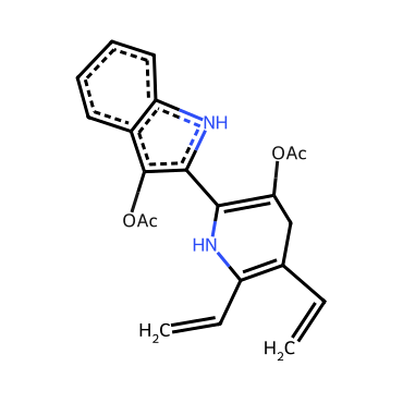 C=CC1=C(C=C)NC(c2[nH]c3ccccc3c2OC(C)=O)=C(OC(C)=O)C1